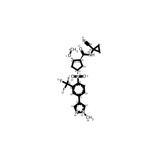 CO[C@H]1C[C@@H](S(=O)(=O)c2ccc(-c3cnn(C)c3)cc2C(F)(F)F)C[C@@H]1C(=O)NC1(C#N)CC1